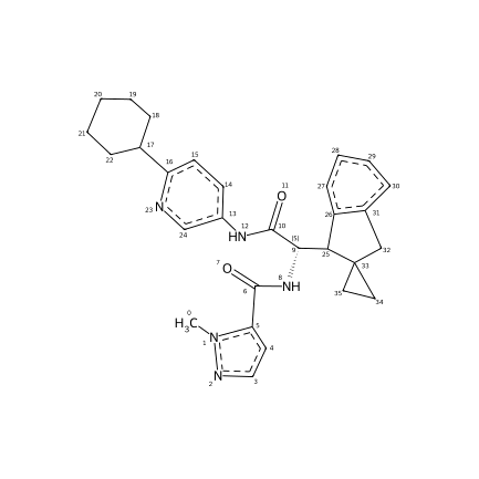 Cn1nccc1C(=O)N[C@H](C(=O)Nc1ccc(C2CCCCC2)nc1)C1c2ccccc2CC12CC2